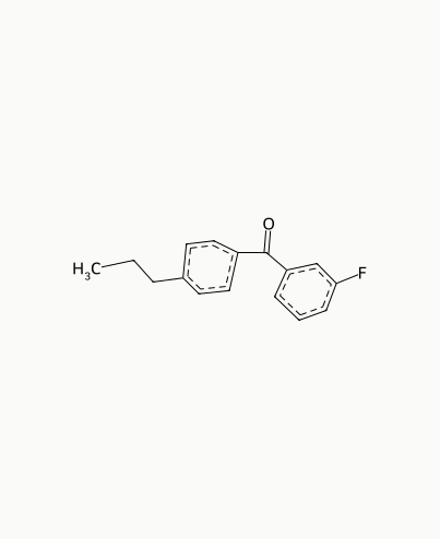 CCCc1ccc(C(=O)c2cccc(F)c2)cc1